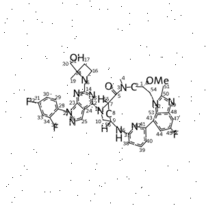 CO[C@H]1CN(C)C(=O)[C@@H]2C[C@@H](CN2c2nc(N3CCC3(C)CO)nc3c2cnn3-c2ccc(F)cc2F)Nc2cccc(n2)-c2cc(F)cc3nc(C)n(c23)C1